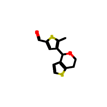 Cc1sc(C=O)cc1C1OCCc2sccc21